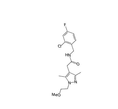 COCCn1nc(C)c(CC(=O)NCc2ccc(F)cc2Cl)c1C